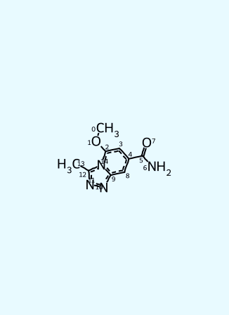 COc1cc(C(N)=O)cc2nnc(C)n12